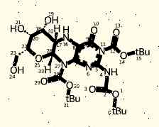 CC(C)(C)OC(=O)Nc1nc2c(c(=O)n1C(=O)OC(C)(C)C)N[C@H]1[C@@H](O)[C@@H](O)[C@@H](CO)O[C@H]1N2C(=O)OC(C)(C)C